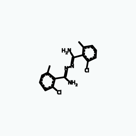 Cc1cccc(Cl)c1/C(N)=N/N=C(\N)c1c(C)cccc1Cl